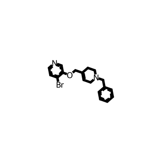 Brc1ccncc1OCC1=CCN(Cc2ccccc2)CC1